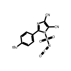 CC(C)(C)c1ccc(-c2nc(C#N)c(C#N)n2S(=O)(=O)N=C=O)cc1